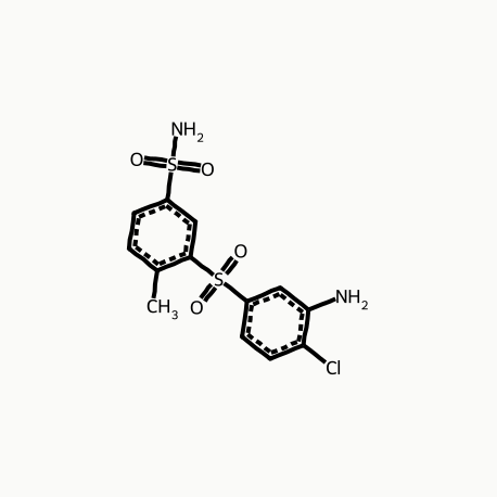 Cc1ccc(S(N)(=O)=O)cc1S(=O)(=O)c1ccc(Cl)c(N)c1